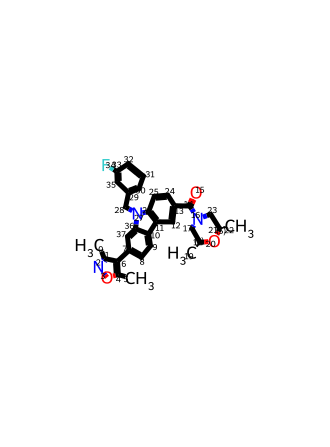 Cc1noc(C)c1-c1ccc2c3cc(C(=O)N4C[C@@H](C)O[C@@H](C)C4)ccc3n(Cc3cccc(F)c3)c2c1